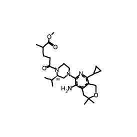 COC(=O)C(C)CCC(=O)N1CCN(c2nc(C3CC3)c3c(c2N)CC(C)(C)OC3)C[C@H]1C(C)C